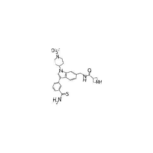 C[S+]([O-])N1CCC(n2cc(-c3cccc(C(N)=S)c3)c3ccc(CNC(=O)C4CNC4)cc32)CC1